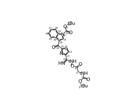 CC(C)(C)OC(=O)NCC(=O)ONC(=N)c1csc(C(=O)c2cn(C(=O)OC(C)(C)C)c3ccccc23)n1